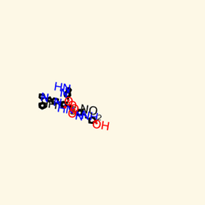 CC(C)c1ccccc1[C@H]1CCCN1C1CC2(CCN(c3ccc(C(=O)NS(=O)(=O)c4cnc(NC[C@H]5CC[C@@](C)(O)CC5)c([N+](=O)[O-])c4)c(Oc4cnc5[nH]ccc5c4)c3)CC2)C1